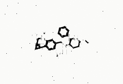 CC[C@@H]1CC[C@@H](NCc2cc3c(cc2OC)C2C[C@@H]2C(=O)N3C)[C@@H](c2ccccc2)N1